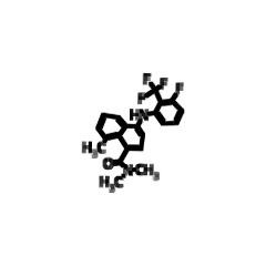 Cc1cccc2c(Nc3cccc(F)c3C(F)(F)F)ccc(C(=O)N(C)C)c12